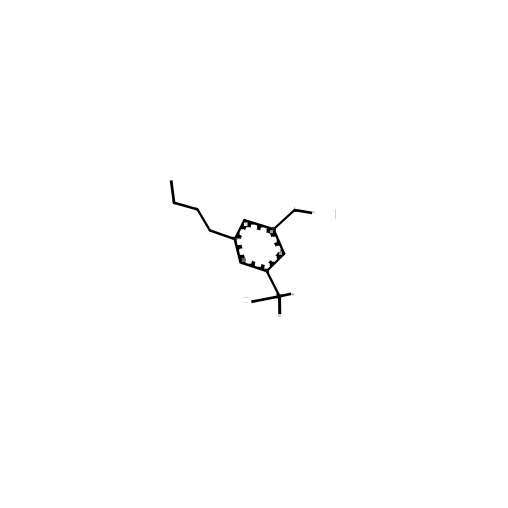 CCCCc1cc([CH]O)cc(C(F)(F)F)c1